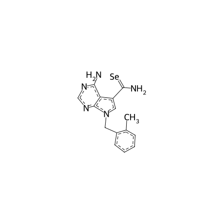 Cc1ccccc1Cn1cc(C(N)=[Se])c2c(N)ncnc21